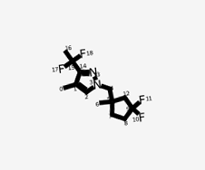 Cc1cn(CC2(C)CCC(F)(F)C2)nc1C(C)(F)F